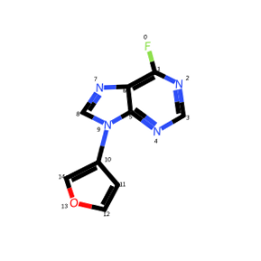 Fc1ncnc2c1ncn2-c1ccoc1